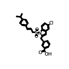 CC(C)c1ccc(C=CCS(=O)(=O)n2c(Cc3cccc(C(=O)O)c3)cc3cc(Cl)ccc32)cc1